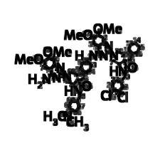 COc1cc2nc(N3CCC(Cc4ccccc4)(C(=O)NCc4ccc(Cl)c(Cl)c4)CC3)nc(N)c2cc1OC.COc1cc2nc(N3CCC(Cc4ccccc4)(C(=O)NCc4ccc(N(C)C)cc4)CC3)nc(N)c2cc1OC